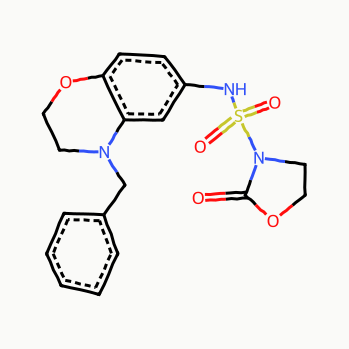 O=C1OCCN1S(=O)(=O)Nc1ccc2c(c1)N(Cc1ccccc1)CCO2